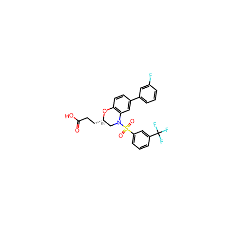 O=C(O)CC[C@H]1CN(S(=O)(=O)c2cccc(C(F)(F)F)c2)c2cc(-c3cccc(F)c3)ccc2O1